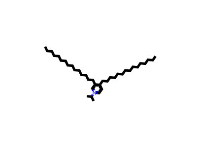 CCCCCCCCCCCCCCCc1cc[n+](C(C)C)cc1CCCCCCCCCCCCCCC